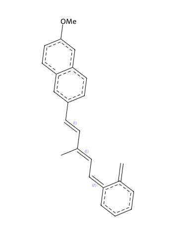 C=c1cccc/c1=C/C=C(C)/C=C/c1ccc2cc(OC)ccc2c1